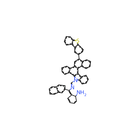 NC1C=CC=C/C1=C(/N=C/n1c2ccccc2c2c3c4ccccc4c(-c4ccc5sc6ccccc6c5c4)cc3c3ccccc3c21)c1ccc2ccccc2c1